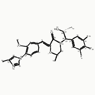 COc1cc(C=C2OC(C)CN([C@H](c3cc(F)c(F)c(F)c3)[C@@H](C)O)C2=O)ccc1-n1cnc(C)c1